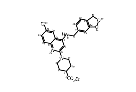 CCOC(=O)C1CCN(c2cc(NCc3ccc4c(c3)OOC4)c3cc(Cl)ccc3n2)CC1